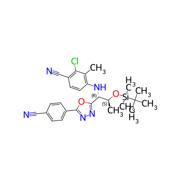 Cc1c(N[C@@H](c2nnc(-c3ccc(C#N)cc3)o2)[C@H](C)O[Si](C)(C)C(C)(C)C)ccc(C#N)c1Cl